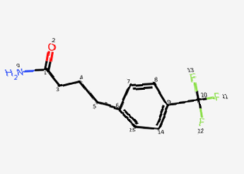 NC(=O)CCCc1ccc(C(F)(F)F)cc1